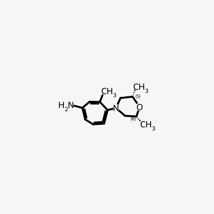 CC1=CC(N)=CC=C=C1N1C[C@@H](C)O[C@@H](C)C1